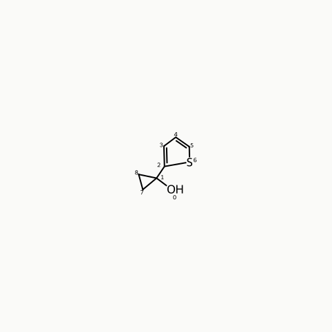 OC1(c2cccs2)CC1